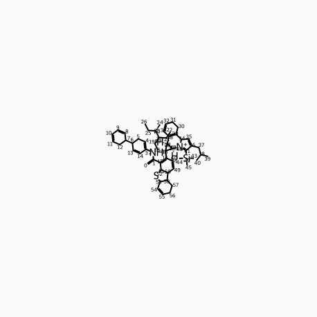 C=C(NC1=CCC(C2C=CC=CC2)C=C1)C1=C([C@@]2(CCC(CC)[C@H](C)CC)[C@H]3C4=C(CCC=C4)C4C=C(CC(C)C)C([Si](C)(C)C)=[N+]4[C@H]32)C=CC2C1SC1C=CCCC12